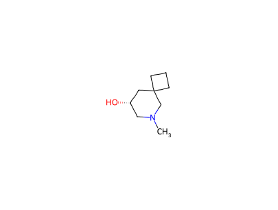 CN1C[C@H](O)CC2(CCC2)C1